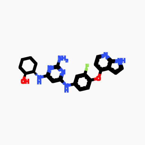 Nc1nc(Nc2ccc(Oc3ccnc4[nH]ccc34)c(F)c2)cc(N[C@H]2CCCC[C@@H]2O)n1